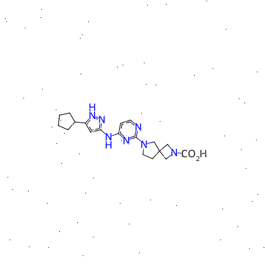 O=C(O)N1CC2(CCN(c3nccc(Nc4cc(C5CCCC5)[nH]n4)n3)C2)C1